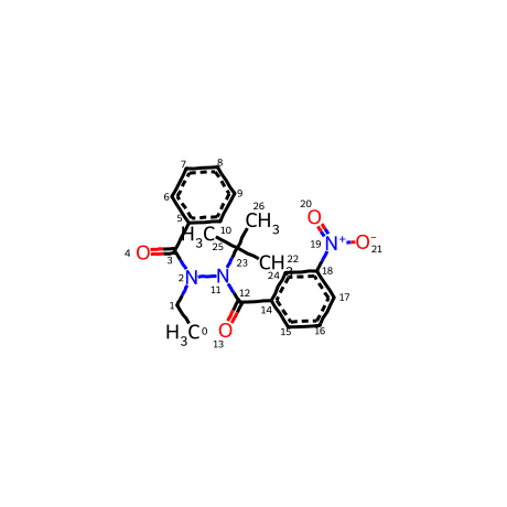 CCN(C(=O)c1ccccc1)N(C(=O)c1cccc([N+](=O)[O-])c1)C(C)(C)C